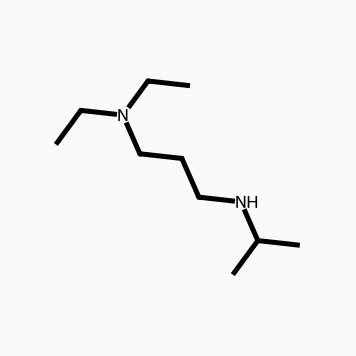 CCN(CC)CCCNC(C)C